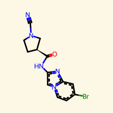 N#CN1CC[C@H](C(=O)Nc2cn3ccc(Br)cc3n2)C1